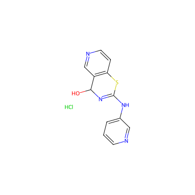 Cl.OC1N=C(Nc2cccnc2)Sc2ccncc21